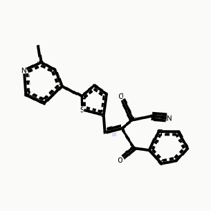 Cc1cc(-c2ccc(/C=C(\C(=O)C#N)C(=O)c3ccccc3)s2)ccn1